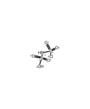 O=S(=O)(O)NS(=O)(=O)Cl